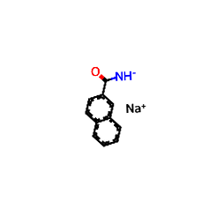 [NH-]C(=O)c1ccc2ccccc2c1.[Na+]